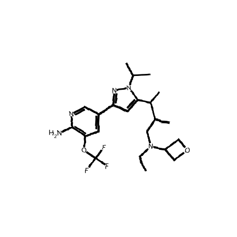 CCN(CC(C)C(C)c1cc(-c2cnc(N)c(OC(F)(F)F)c2)nn1C(C)C)C1COC1